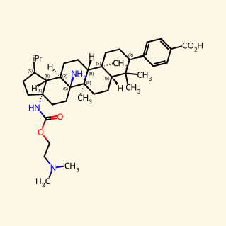 CC(C)[C@@H]1CC[C@]2(NC(=O)OCCN(C)C)CC[C@]3(N)[C@H](CC[C@@H]4[C@@]5(C)CC[C@@H](c6ccc(C(=O)O)cc6)C(C)(C)[C@@H]5CC[C@]43C)[C@@H]12